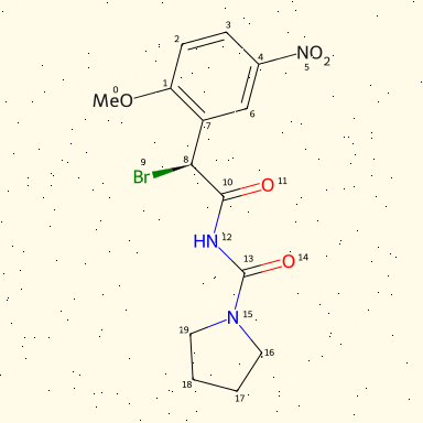 COc1ccc([N+](=O)[O-])cc1[C@H](Br)C(=O)NC(=O)N1[CH]CCC1